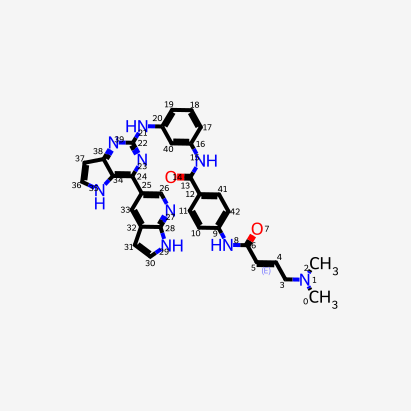 CN(C)C/C=C/C(=O)Nc1ccc(C(=O)Nc2cccc(Nc3nc(-c4cnc5[nH]ccc5c4)c4[nH]ccc4n3)c2)cc1